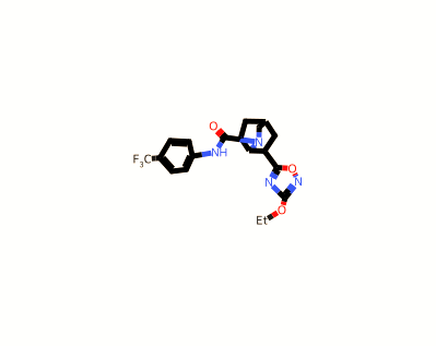 CCOc1noc(C2CC3CCC2N(C(=O)Nc2ccc(C(F)(F)F)cc2)C3)n1